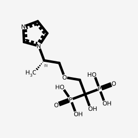 C[C@@H](COCC(O)(P(=O)(O)O)P(=O)(O)O)n1ccnc1